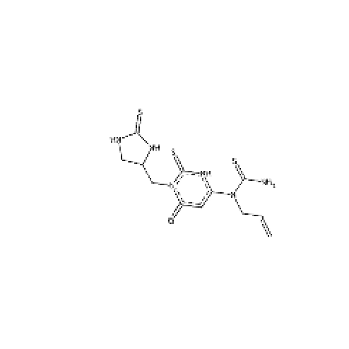 C=CCN(C(N)=S)c1cc(=O)n(CC2CNC(=S)N2)c(=S)[nH]1